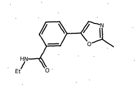 CCNC(=O)c1cccc(-c2cnc(C)o2)c1